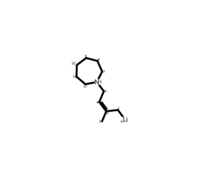 [Li][CH2]C(C)=CCN1CCCCCC1